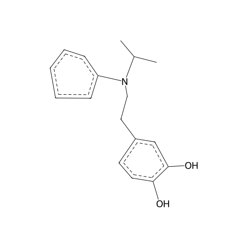 CC(C)N(CCc1ccc(O)c(O)c1)c1ccccc1